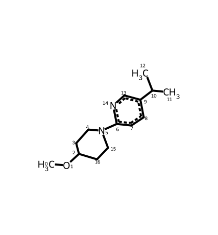 COC1CCN(c2ccc(C(C)C)cn2)CC1